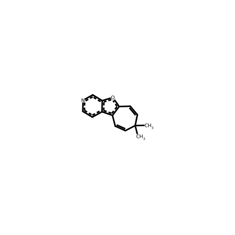 CC1(C)C=Cc2oc3cnccc3c2C=C1